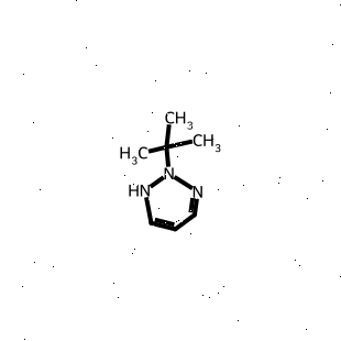 CC(C)(C)N1N=CC=CN1